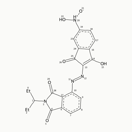 CCC(CC)N1C(=O)c2cccc(N=NC3=C(O)c4ccc([NH+]([O-])O)cc4C3=O)c2C1=O